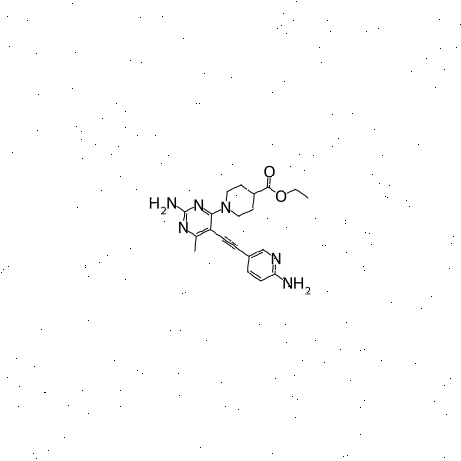 CCOC(=O)C1CCN(c2nc(N)nc(C)c2C#Cc2ccc(N)nc2)CC1